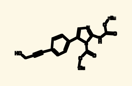 CCCCOC(=O)Nc1ncc(-c2ccc(C#CCO)cc2)n1C(=O)OC(C)(C)C